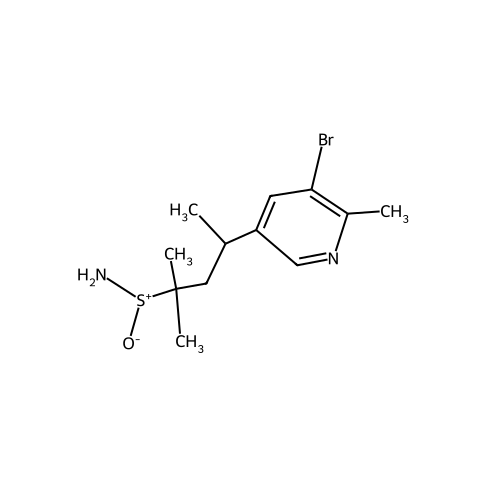 Cc1ncc(C(C)CC(C)(C)[S+](N)[O-])cc1Br